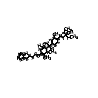 CCC(O)(CC)CCc1ccc(C(CC)(CC)c2ccc(OCCCCc3nnn[nH]3)c(C)c2)cc1C